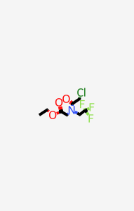 CCOC(=O)CN(CC(F)(F)F)C(=O)CCl